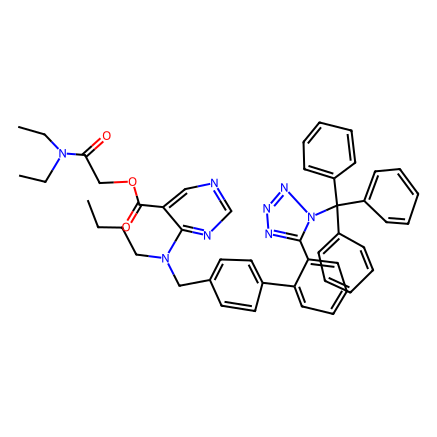 CCCCN(Cc1ccc(-c2ccccc2-c2nnnn2C(c2ccccc2)(c2ccccc2)c2ccccc2)cc1)c1ncncc1C(=O)OCC(=O)N(CC)CC